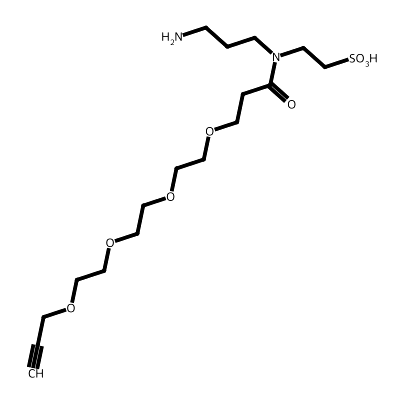 C#CCOCCOCCOCCOCCC(=O)N(CCCN)CCS(=O)(=O)O